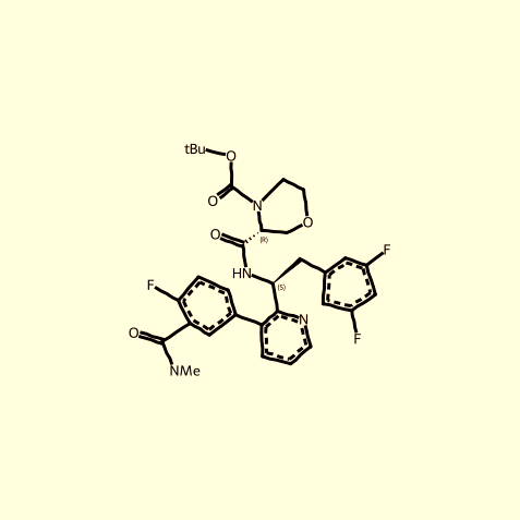 CNC(=O)c1cc(-c2cccnc2[C@H](Cc2cc(F)cc(F)c2)NC(=O)[C@H]2COCCN2C(=O)OC(C)(C)C)ccc1F